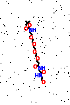 CC(C)(C)OC(=O)NCCOCCOCCOCCOCCC(=O)NCC(=O)NCC=O